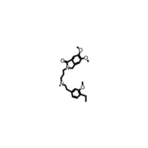 CCc1ccc(CCN(C)CCCN2Cc3cc(OC)c(OC)cc3C2=O)cc1OC